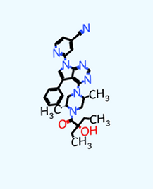 CCC(O)(CC)C(=O)N1C[C@H](C)N(c2ncnc3c2c(-c2ccccc2)cn3-c2cc(C#N)ccn2)C[C@H]1C